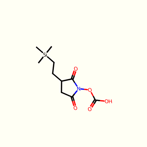 C[Si](C)(C)CCC1CC(=O)N(OC(=O)O)C1=O